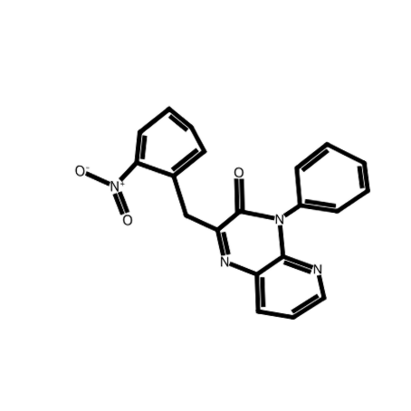 O=c1c(Cc2ccccc2[N+](=O)[O-])nc2cccnc2n1-c1ccccc1